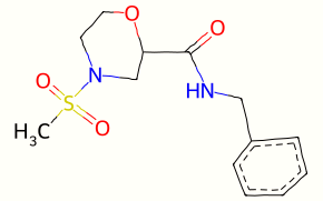 CS(=O)(=O)N1CCOC(C(=O)NCc2ccccc2)C1